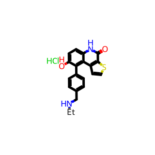 CCNCc1ccc(-c2c(O)ccc3[nH]c(=O)c4sccc4c23)cc1.Cl